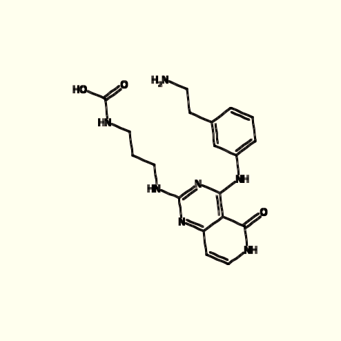 NCCc1cccc(Nc2nc(NCCCNC(=O)O)nc3cc[nH]c(=O)c23)c1